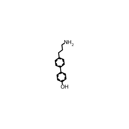 NCCCc1ccc(-c2ccc(O)cc2)cc1